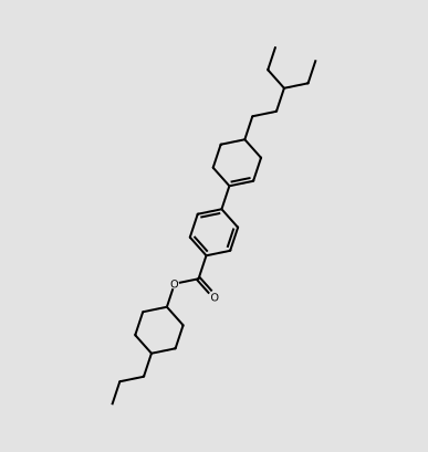 CCCC1CCC(OC(=O)c2ccc(C3=CCC(CCC(CC)CC)CC3)cc2)CC1